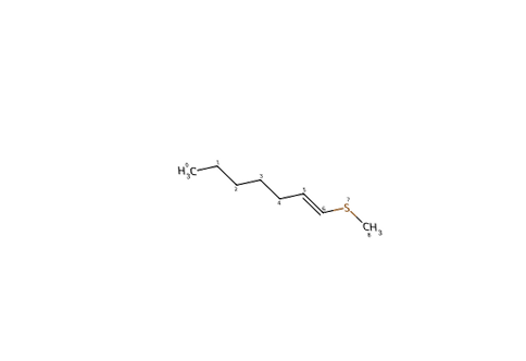 CCCCCC=CSC